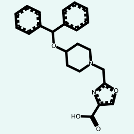 O=C(O)c1coc(CN2CCC(OC(c3ccccc3)c3ccccc3)CC2)n1